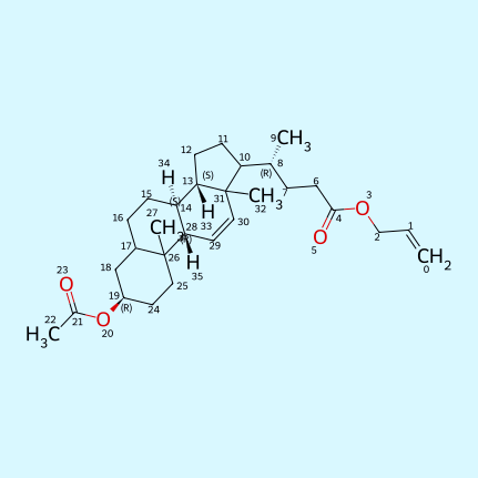 C=CCOC(=O)CC[C@@H](C)C1CC[C@H]2[C@@H]3CCC4C[C@H](OC(C)=O)CCC4(C)[C@H]3C=CC12C